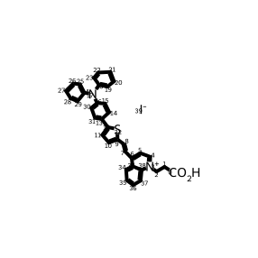 O=C(O)CC[n+]1ccc(/C=C/c2ccc(-c3ccc(N(c4ccccc4)c4ccccc4)cc3)s2)c2ccccc21.[I-]